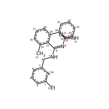 CCc1cccc(CN/C(=N/C(=N)Cl)c2c(C)cccc2-c2ccccc2)n1